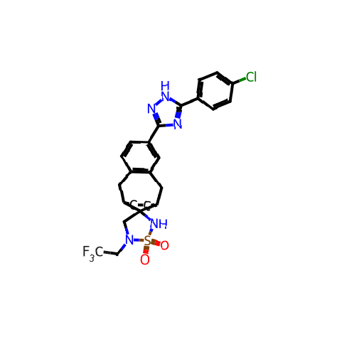 O=S1(=O)NC2(CN1CC(F)(F)F)C1CCC2Cc2cc(-c3n[nH]c(-c4ccc(Cl)cc4)n3)ccc2C1